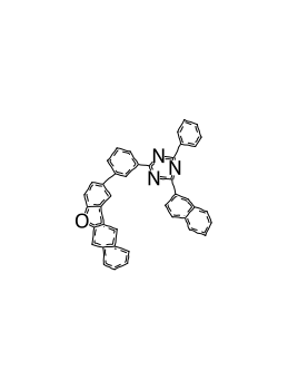 c1ccc(-c2nc(-c3cccc(-c4ccc5oc6cc7ccccc7cc6c5c4)c3)nc(-c3ccc4ccccc4c3)n2)cc1